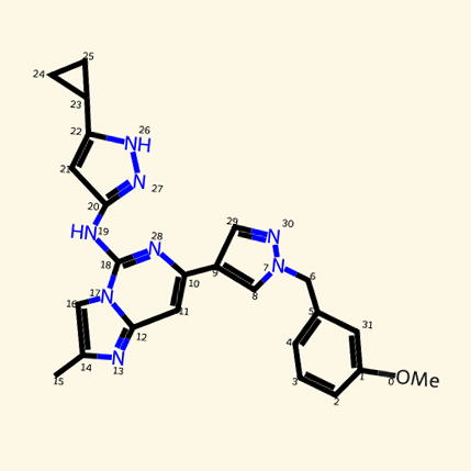 COc1cccc(Cn2cc(-c3cc4nc(C)cn4c(Nc4cc(C5CC5)[nH]n4)n3)cn2)c1